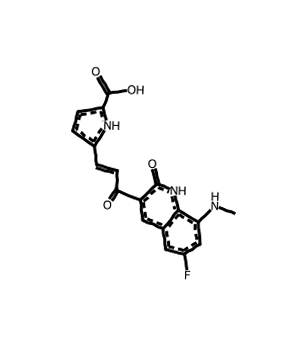 CNc1cc(F)cc2cc(C(=O)C=Cc3ccc(C(=O)O)[nH]3)c(=O)[nH]c12